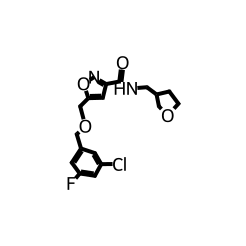 O=C(NCC1CCOC1)c1cc(COCc2cc(F)cc(Cl)c2)on1